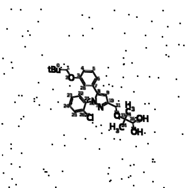 CC(C)(C)COc1cccc(-c2cc(COC(C)(C)C(O)O)nn2-c2ccccc2Cl)c1